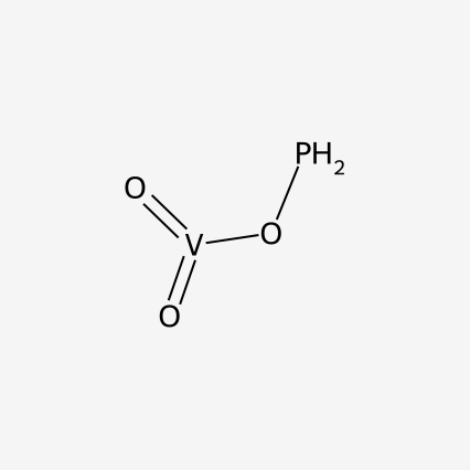 [O]=[V](=[O])[O]P